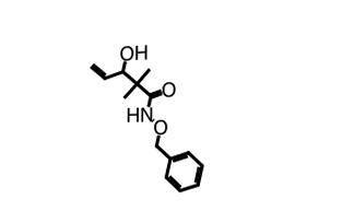 C=CC(O)C(C)(C)C(=O)NOCc1ccccc1